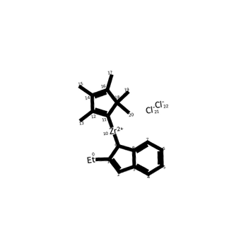 CCC1=Cc2ccccc2[CH]1[Zr+2][C]1=C(C)C(C)=C(C)C1(C)C.[Cl-].[Cl-]